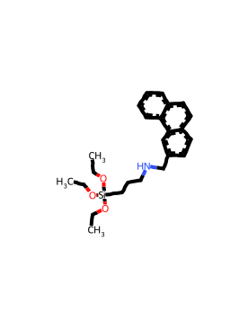 CCO[Si](CCCNCc1ccc2ccc3ccccc3c2c1)(OCC)OCC